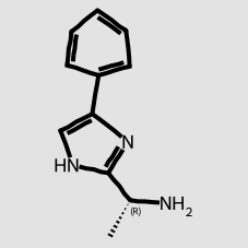 C[C@@H](N)c1nc(-c2ccccc2)c[nH]1